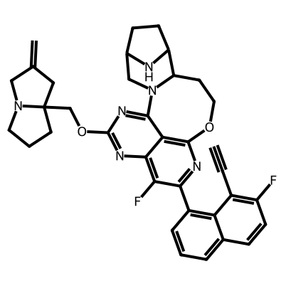 C#Cc1c(F)ccc2cccc(-c3nc4c5c(nc(OCC67CCCN6CC(=C)C7)nc5c3F)N3CC5CCC(N5)C3CCO4)c12